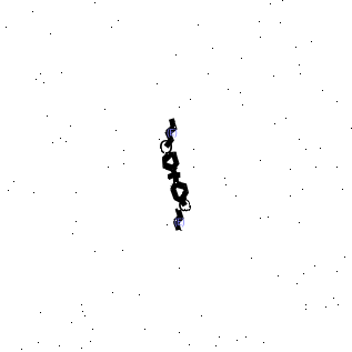 C/C=C/COc1ccc(C(C)(C)c2ccc(OC/C=C/C)cc2)cc1